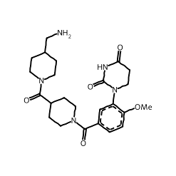 COc1ccc(C(=O)N2CCC(C(=O)N3CCC(CN)CC3)CC2)cc1N1CCC(=O)NC1=O